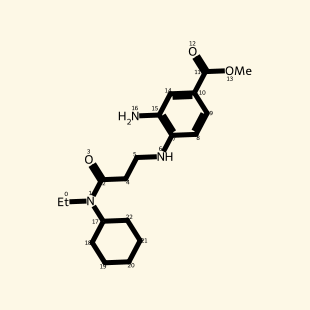 CCN(C(=O)CCNc1ccc(C(=O)OC)cc1N)C1CCCCC1